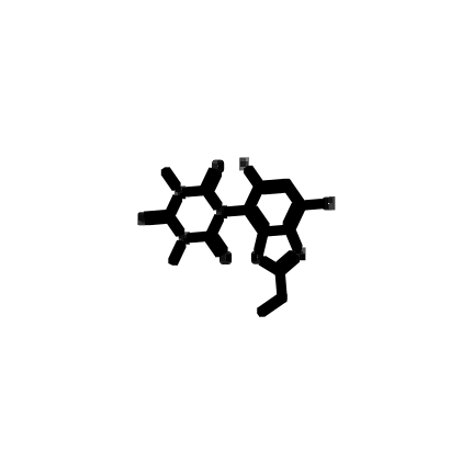 CCc1nc2c(Cl)cc(F)c(-n3c(=O)n(C)c(=S)n(C)c3=O)c2o1